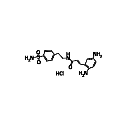 Cl.Nc1ccc(N)c(/C=C/C(=O)NCCc2ccc(S(N)(=O)=O)cc2)c1